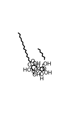 CCCCCCC.CCCCCCCCCCCCCCCC(=O)O[C@@H]1[C@@H](O)[C@@H](O[C@H]2[C@H](O)[C@@H](O)[C@H](O)O[C@@H]2CO)O[C@H](CO)[C@H]1O